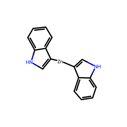 c1ccc2[c]([Zn][c]3c[nH]c4ccccc34)c[nH]c2c1